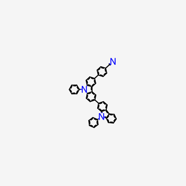 N#Cc1ccc(-c2ccc3c(c2)c2cc(-c4ccc5c6ccccc6n(-c6ccccc6)c5c4)ccc2n3-c2ccccc2)cc1